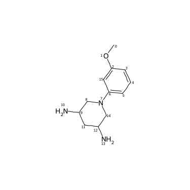 COc1cccc(N2CC(N)CC(N)C2)c1